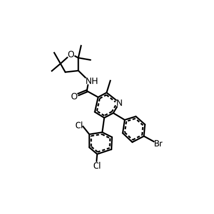 Cc1nc(-c2ccc(Br)cc2)c(-c2ccc(Cl)cc2Cl)cc1C(=O)NC1CC(C)(C)OC1(C)C